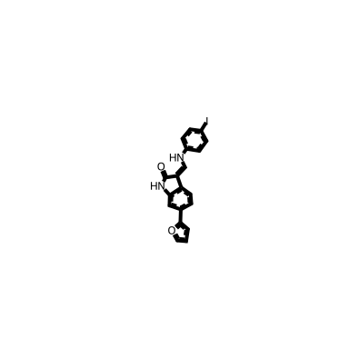 O=C1Nc2cc(-c3ccco3)ccc2C1=CNc1ccc(I)cc1